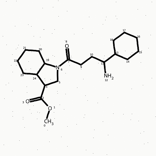 COC(=O)C1CN(C(=O)CCC(N)C2CCCCC2)C2CCCCC12